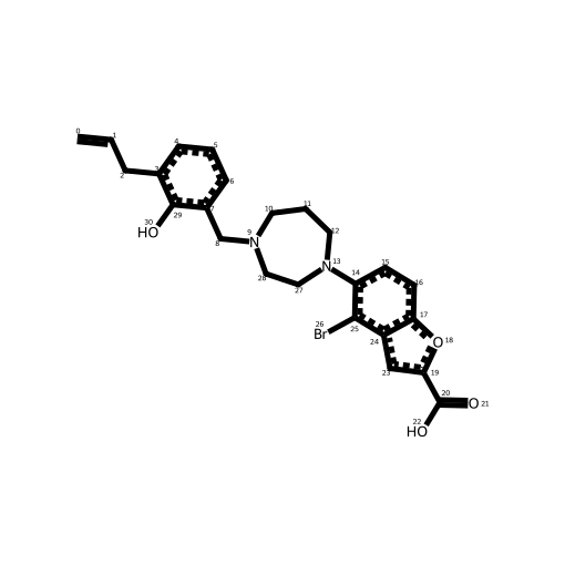 C=CCc1cccc(CN2CCCN(c3ccc4oc(C(=O)O)cc4c3Br)CC2)c1O